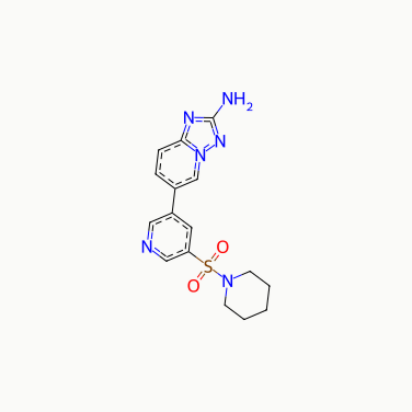 Nc1nc2ccc(-c3cncc(S(=O)(=O)N4CCCCC4)c3)cn2n1